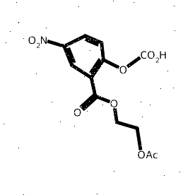 CC(=O)OCCOC(=O)c1cc([N+](=O)[O-])ccc1OC(=O)O